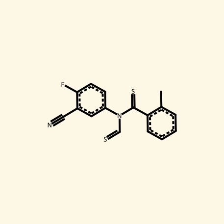 Cc1ccccc1C(=S)N(C=S)c1ccc(F)c(C#N)c1